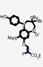 CCCCC1(CCCC)CN(c2ccc(OC)cc2)c2cc(SC)c(O/C=C(\F)C(=O)OCC)cc2[S+]([O-])C1